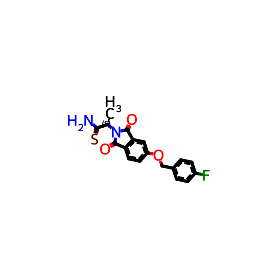 C[C@@H](C(N)=S)N1C(=O)c2ccc(OCc3ccc(F)cc3)cc2C1=O